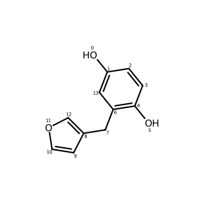 Oc1ccc(O)c(Cc2ccoc2)c1